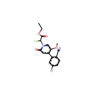 CCOC(=O)C(F)n1cc(OC)c(-c2cc(Cl)ccc2C#N)cc1=O